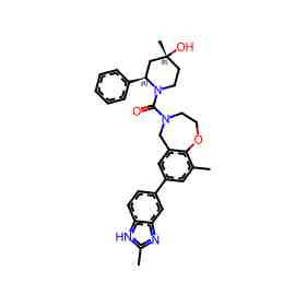 Cc1nc2cc(-c3cc(C)c4c(c3)CN(C(=O)N3CC[C@@](C)(O)C[C@@H]3c3ccccc3)CCO4)ccc2[nH]1